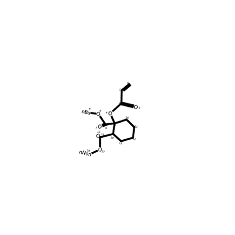 C=CC(=O)OC1(C(=O)OCCCC)CCCCC1C(=O)OCCCCCCCCC